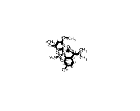 COc1cc(OC)nc([N+](C(N)=O)(c2cc(Cl)ccc2C(=O)N(C)C)S(N)(=O)=O)n1